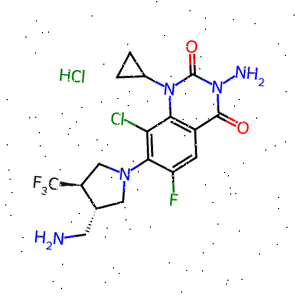 Cl.NC[C@H]1CN(c2c(F)cc3c(=O)n(N)c(=O)n(C4CC4)c3c2Cl)C[C@@H]1C(F)(F)F